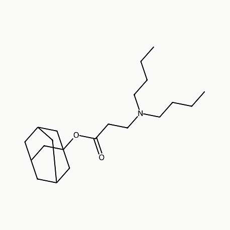 CCCCN(CCCC)CCC(=O)OC12CC3CC(CC(C3)C1)C2